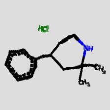 CC1(C)CC(c2ccccc2)CCN1.Cl